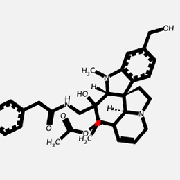 CC[C@]12C=CCN3CC[C@@]4(c5ccc(CO)cc5N(C)[C@H]4C(O)(CNC(=O)Cc4ccccc4)[C@@H]1OC(C)=O)[C@@H]32